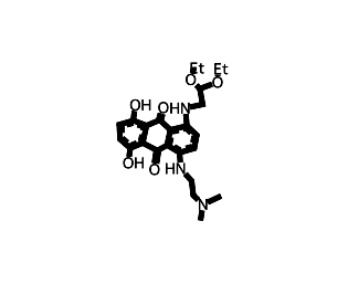 CCOC(CNc1ccc(NCCN(C)C)c2c1C(=O)c1c(O)ccc(O)c1C2=O)OCC